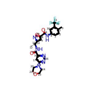 Cc1ccc(NC(=O)c2cc([C@@H](C)NC(=O)c3cc(N4CCOCC4)ncn3)no2)cc1C(F)(F)F